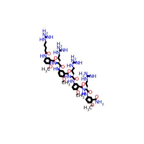 COc1ccc(NC(=O)[C@@H](CCCNC(=N)N)NC(=O)c2cc(NC(=O)[C@@H](CCCNC(=N)N)NC(=O)c3cc(NC(=O)[C@@H](CCCNC(=N)N)NC(=O)c4cc(NC(=O)CCCCNC(=N)N)ccc4OC)ccc3OC)ccc2OC)cc1C(N)=O